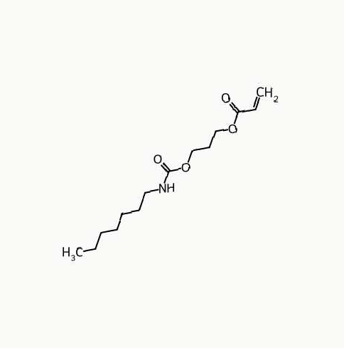 C=CC(=O)OCCCOC(=O)NCCCCCCC